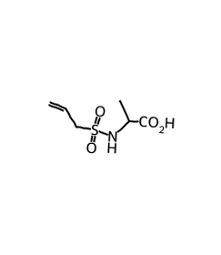 C=CCS(=O)(=O)NC(C)C(=O)O